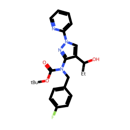 CCC(O)c1cn(-c2ccccn2)nc1N(Cc1ccc(F)cc1)C(=O)OC(C)(C)C